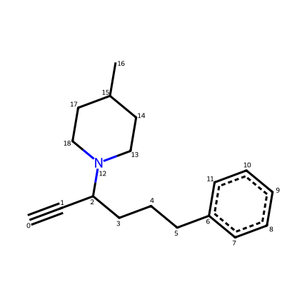 C#CC(CCCc1ccccc1)N1CCC(C)CC1